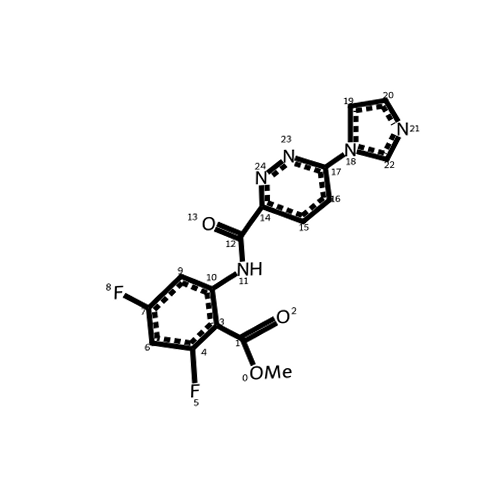 COC(=O)c1c(F)cc(F)cc1NC(=O)c1ccc(-n2ccnc2)nn1